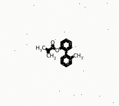 C=C(C)C(=O)Oc1ccccc1-c1ccccc1C